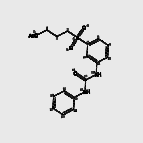 CC(=O)OCCCS(=O)(=O)c1cccc(NC(=O)Nc2ccccc2)c1